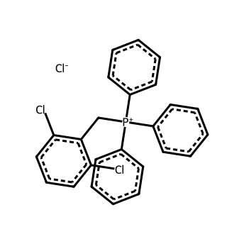 Clc1cccc(Cl)c1C[P+](c1ccccc1)(c1ccccc1)c1ccccc1.[Cl-]